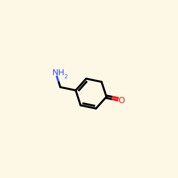 NCC1=CCC(=O)C=C1